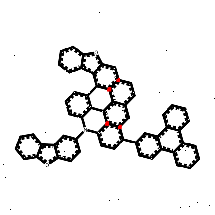 c1cc(-c2cccc3oc4ccccc4c23)c(-c2cccc3ccccc23)c(N(c2ccc(-c3ccc4c5ccccc5c5ccccc5c4c3)cc2)c2ccc3oc4ccccc4c3c2)c1